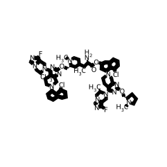 CC(C1CCN(C)[C@@H](COc2nc3c(c(N4Cc5c(F)ncn5C[C@H]4C)n2)CCN(c2cccc4cccc(Cl)c24)C3)C1)[C@@H](N)C(=O)Oc1cc(N2CCc3c(nc(OC[C@@H]4CCCN4C)nc3N3Cc4c(F)ncn4C[C@H]3C)C2)c2c(Cl)cccc2c1